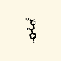 [CH2]c1nc(CC(O)c2ccc(Cl)cc2)no1